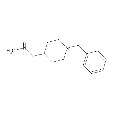 CNCC1CCN(Cc2ccccc2)CC1